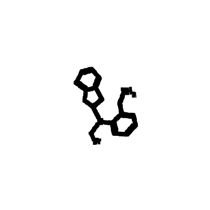 CC(C)[CH]N(c1ccccc1CN)C1Cc2ccccc2C1